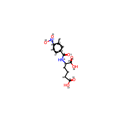 Cc1cc(C(=O)NC(CCCC(=O)O)C(=O)O)ccc1[N+](=O)[O-]